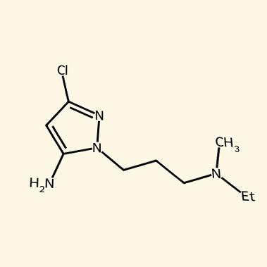 CCN(C)CCCn1nc(Cl)cc1N